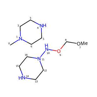 CN1CCNCC1.COCONN1CCNCC1